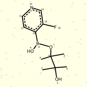 CC(C)(O)C(C)(C)OB(O)c1ccncc1F